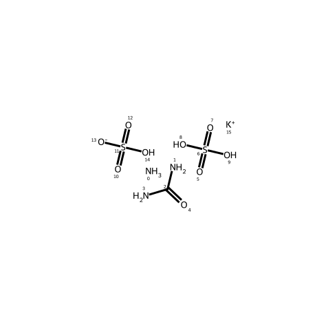 N.NC(N)=O.O=S(=O)(O)O.O=S(=O)([O-])O.[K+]